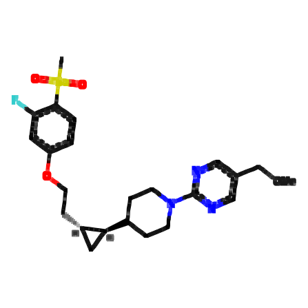 COCc1cnc(N2CCC([C@H]3C[C@@H]3CCOc3ccc(S(C)(=O)=O)c(F)c3)CC2)nc1